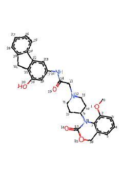 COc1cccc2c1N(C1CCN(CC(=O)Nc3cc(O)c4c(c3)-c3ccccc3C4)CC1)C(=O)OC2